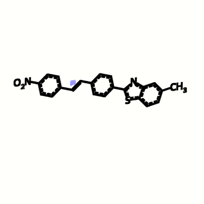 Cc1ccc2sc(-c3ccc(/C=C/c4ccc([N+](=O)[O-])cc4)cc3)nc2c1